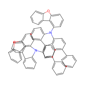 c1ccc(-c2ccccc2N(c2cc(-c3ccccc3)c3c(-c4ccccc4)ccc(N(c4ccccc4-c4ccccc4)c4cccc5oc6ccccc6c45)c3c2)c2cccc3oc4ccccc4c23)cc1